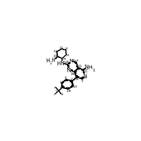 CC(C)(C)c1ccc(-c2cnc(N)c3cnc(NC4CCCCC4N)nc23)cc1